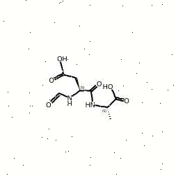 C[C@H](NC(=O)[C@H](CC(=O)O)NC=O)C(=O)O